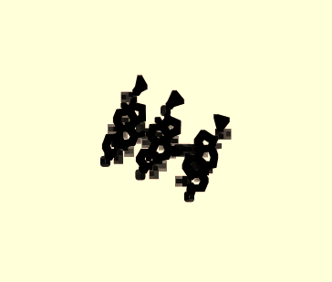 C[C@]12CCC(=O)N[C@@H]1C[C@H](O)[C@@H]1[C@@H]2CC[C@]2(C)[C@@H](NC3CC3)CC[C@@H]12.C[C@]12CCC(=O)N[C@@H]1C[C@H](O)[C@@H]1[C@@H]2CC[C@]2(C)[C@@H](OC3CC3)CC[C@@H]12.C[C@]12CC[C@H]3[C@@H]([C@@H](O)C=C4NC(=O)CC[C@@]43C)[C@@H]1CC[C@@H]2NC1CC1